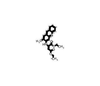 CCOC(=O)C=C(Nc1cc2nc3ccccc3cc2cc1C)C(=O)OCC